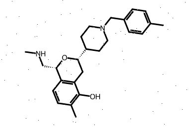 CNC[C@@H]1O[C@H](C2CCN(Cc3ccc(C)cc3)CC2)Cc2c1ccc(C)c2O